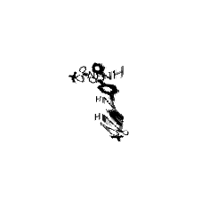 CC(C)(C)OC(=O)NCCCNCc1ccc(C(=O)Nc2ccccc2NC(=O)OC(C)(C)C)cc1